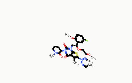 C=NN(/N=C\C)c1sc2c(c1C)c(=O)n(C1CCCN(C)C1=O)c(=O)n2C[C@H](OCCOC)c1cc(F)ccc1OC